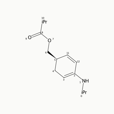 CC(C)NC1=CC[C@@H](COC(=O)C(C)C)C=C1